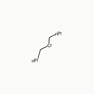 CCC[CH2][Cr][CH2]CCC